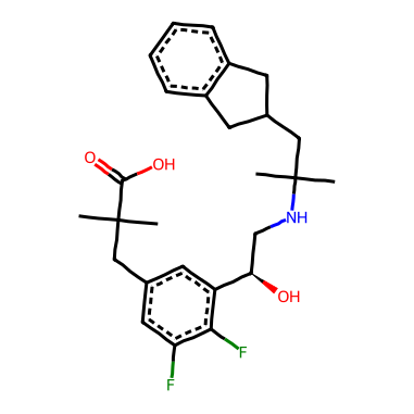 CC(C)(CC1Cc2ccccc2C1)NC[C@@H](O)c1cc(CC(C)(C)C(=O)O)cc(F)c1F